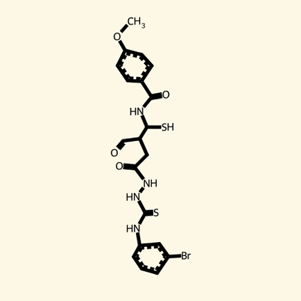 COc1ccc(C(=O)NC(S)C(C=O)CC(=O)NNC(=S)Nc2cccc(Br)c2)cc1